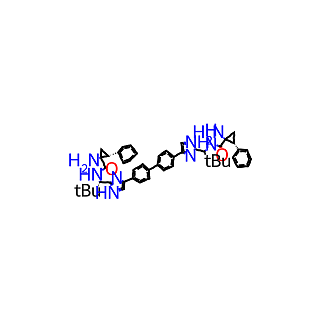 CC(C)(C)[C@H](NC(=O)[C@@]1(N)C[C@@H]1c1ccccc1)c1nc(-c2ccc(-c3ccc(-c4c[nH]c([C@@H](NC(=O)[C@@]5(N)C[C@@H]5c5ccccc5)C(C)(C)C)n4)cc3)cc2)c[nH]1